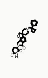 O=C1CCC(N2Cc3c(ccc4c3OCC43CCN(CC4(c5ccccc5)CCC4)CC3)C2=O)C(=O)N1